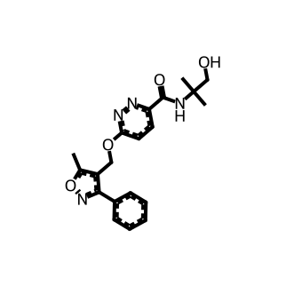 Cc1onc(-c2ccccc2)c1COc1ccc(C(=O)NC(C)(C)CO)nn1